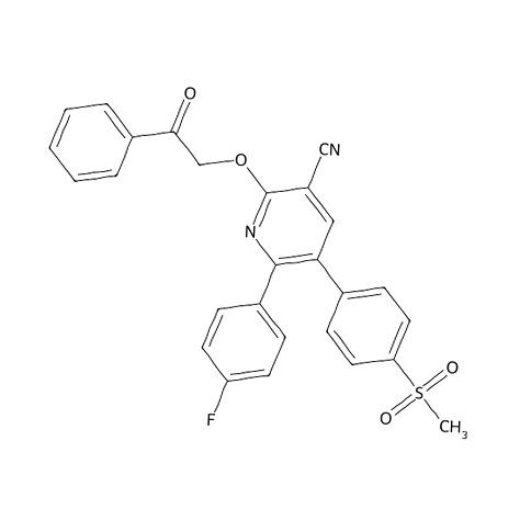 CS(=O)(=O)c1ccc(-c2cc(C#N)c(OCC(=O)c3ccccc3)nc2-c2ccc(F)cc2)cc1